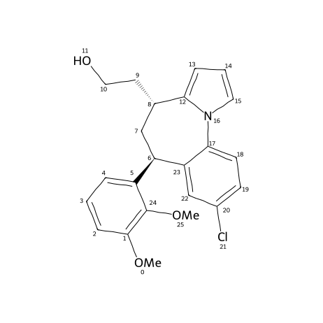 COc1cccc([C@H]2C[C@H](CCO)c3cccn3-c3ccc(Cl)cc32)c1OC